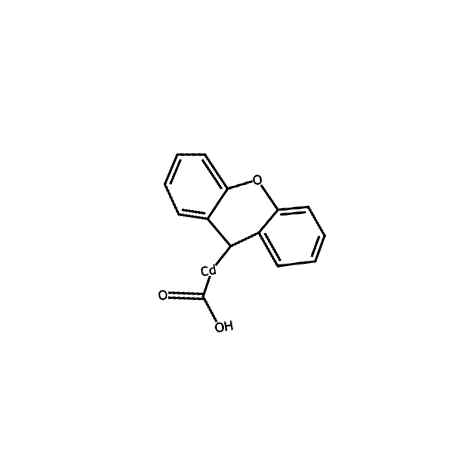 O=[C](O)[Cd][CH]1c2ccccc2Oc2ccccc21